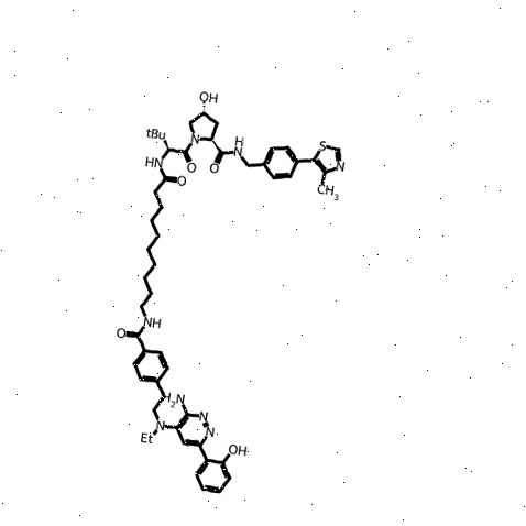 CCN(CCc1ccc(C(=O)NCCCCCCCCCC(=O)N[C@H](C(=O)N2C[C@H](O)C[C@H]2C(=O)NCc2ccc(-c3scnc3C)cc2)C(C)(C)C)cc1)c1cc(-c2ccccc2O)nnc1N